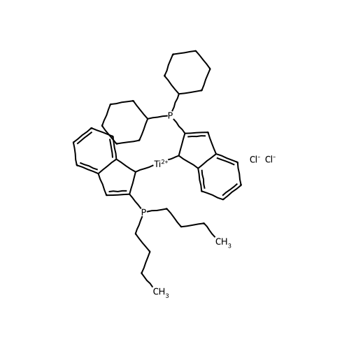 CCCCP(CCCC)C1=Cc2ccccc2[CH]1[Ti+2][CH]1C(P(C2CCCCC2)C2CCCCC2)=Cc2ccccc21.[Cl-].[Cl-]